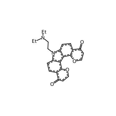 CCN(CC)CCn1c2ccc3c(=O)ccoc3c2c2c3occc(=O)c3ccc21